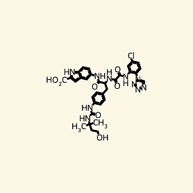 CC(C)(CCO)NC(=O)Nc1ccc(CC(NC(=O)C(=O)Nc2cc(Cl)ccc2-n2cnnn2)C(=O)Nc2ccc3[nH]c(C(=O)O)cc3c2)cc1